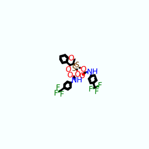 O=C(Nc1ccc(C(F)(F)F)cc1)OCSC1(SCOC(=O)Nc2ccc(C(F)(F)F)cc2)COc2ccccc2C1=O